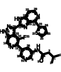 CC(C)CC(=O)Nc1cncc(-c2ncc3[nH]nc(-c4nc5c(-c6cccs6)nccc5[nH]4)c3c2F)c1